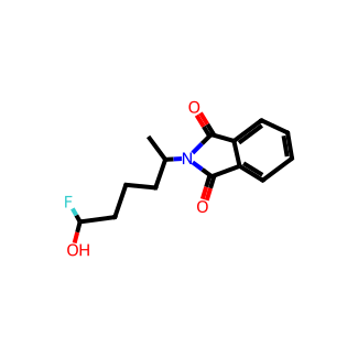 CC(CCCC(O)F)N1C(=O)c2ccccc2C1=O